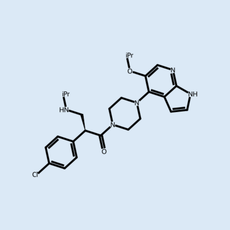 CC(C)NC[C@@H](C(=O)N1CCN(c2c(OC(C)C)cnc3[nH]ccc23)CC1)c1ccc(Cl)cc1